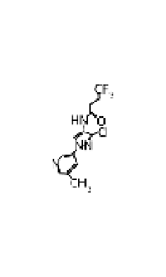 Cc1cncc(-n2cc(NC(=O)CCC(F)(F)F)c(Cl)n2)c1